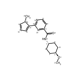 CO[C@H]1CC[C@H](NC(=O)c2ccnc(-c3cncn3C)n2)CC1